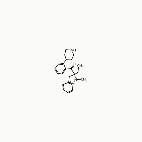 CCC(Cc1ccccc1)(C(=O)c1ccccc1C1CCNCC1)N(C)C